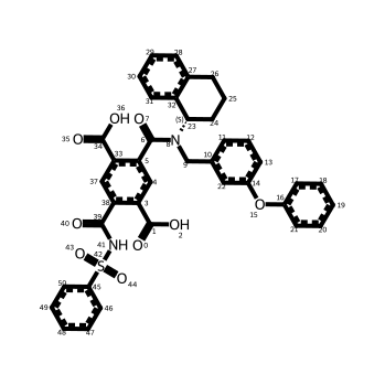 O=C(O)c1cc(C(=O)N(Cc2cccc(Oc3ccccc3)c2)[C@H]2CCCc3ccccc32)c(C(=O)O)cc1C(=O)NS(=O)(=O)c1ccccc1